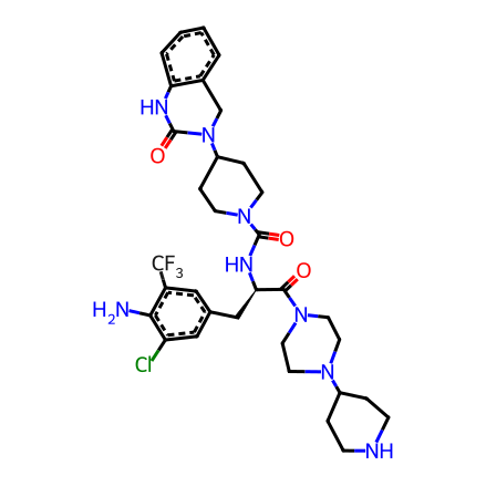 Nc1c(Cl)cc(C[C@@H](NC(=O)N2CCC(N3Cc4ccccc4NC3=O)CC2)C(=O)N2CCN(C3CCNCC3)CC2)cc1C(F)(F)F